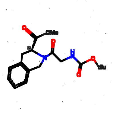 COC(=O)[C@@H]1Cc2ccccc2CN1C(=O)CNC(=O)OC(C)(C)C